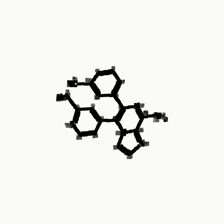 CNc1cc(-c2c(-c3cccc(C#N)c3)nc(N)c3nccn23)ccn1